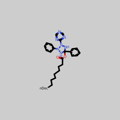 CCCCCCCCCCCCCCCCCC(=O)OC1(c2ccccc2)NN(c2ccccc2)N(c2ncncn2)N1